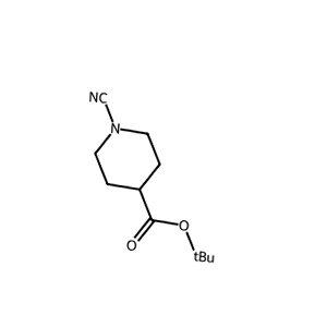 CC(C)(C)OC(=O)C1CCN(C#N)CC1